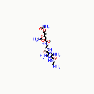 NCCNC(=O)c1nc(N)c(C(=O)NCCNC(=O)C(CCCCOC(N)=O)OC(N)=O)nc1N